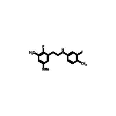 CNc1cc(C)c(F)c(CCNc2ccc(C)c(F)c2)c1